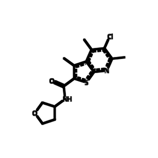 Cc1nc2sc(C(=O)NC3CCOC3)c(C)c2c(C)c1Cl